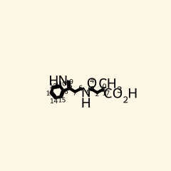 CC(CC(=O)NCCc1c[nH]c2ccccc12)C(=O)O